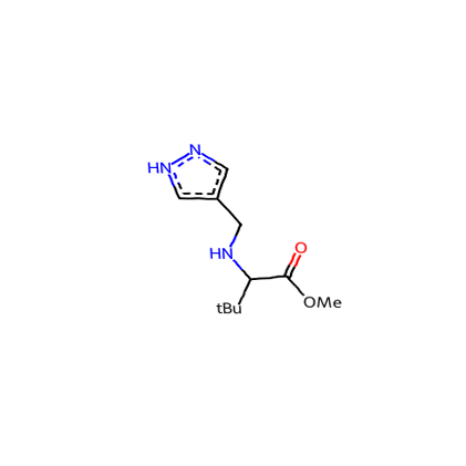 COC(=O)C(NCc1cn[nH]c1)C(C)(C)C